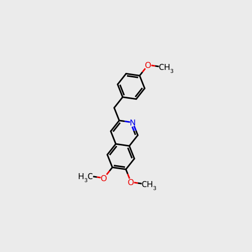 COc1ccc(Cc2cc3cc(OC)c(OC)cc3cn2)cc1